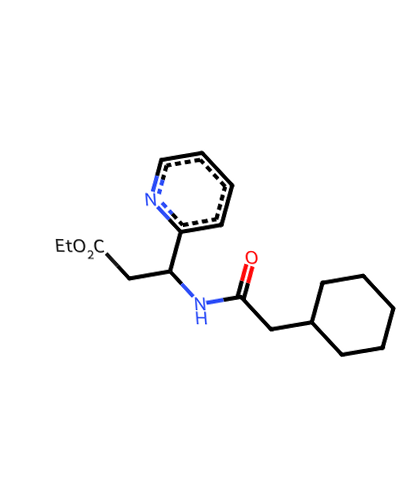 CCOC(=O)CC(NC(=O)CC1CCCCC1)c1ccccn1